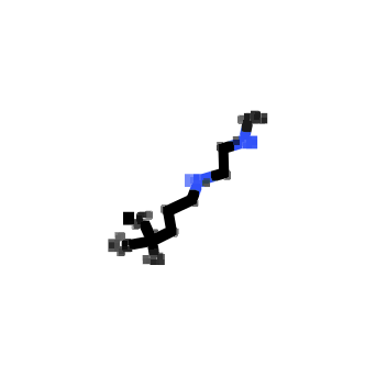 CCCCNCCNCCCC(C)(C)CC